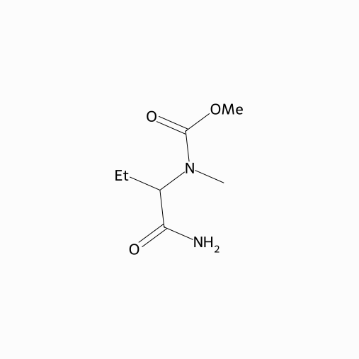 CCC(C(N)=O)N(C)C(=O)OC